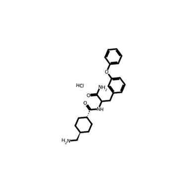 Cl.NC[C@H]1CC[C@H](C(=O)NC(Cc2cccc(Oc3ccccc3)c2)C(N)=O)CC1